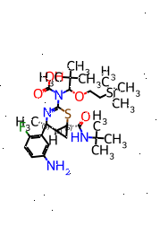 CC(C)(C)NC(=O)[C@]12C[C@H]1[C@@](C)(c1cc(N)ccc1F)N=C(N(C(=O)O)C(OCC[Si](C)(C)C)C(C)(C)C)S2